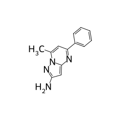 Cc1cc(-c2ccccc2)nc2cc(N)nn12